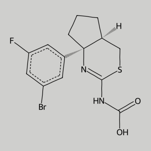 O=C(O)NC1=N[C@@]2(c3cc(F)cc(Br)c3)CCC[C@H]2CS1